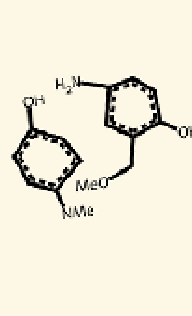 CNc1ccc(O)cc1.COCc1cc(N)ccc1O